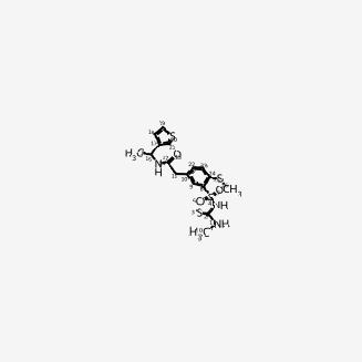 CNC(=S)NS(=O)(=O)c1cc(CC(=O)NC(C)c2ccsc2)ccc1SC